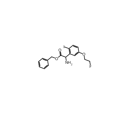 NC(C(=O)OCc1ccccc1)c1cc(OCCF)ccc1I